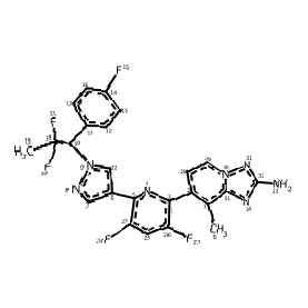 Cc1c(-c2nc(-c3cnn([C@H](c4ccc(F)cc4)C(C)(F)F)c3)c(F)cc2F)ccn2nc(N)nc12